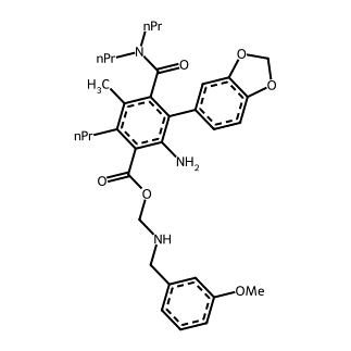 CCCc1c(C)c(C(=O)N(CCC)CCC)c(-c2ccc3c(c2)OCO3)c(N)c1C(=O)OCNCc1cccc(OC)c1